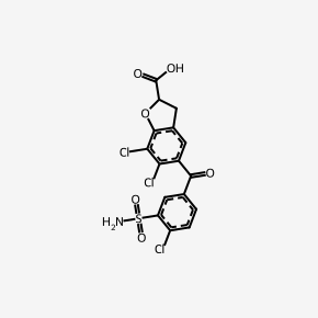 NS(=O)(=O)c1cc(C(=O)c2cc3c(c(Cl)c2Cl)OC(C(=O)O)C3)ccc1Cl